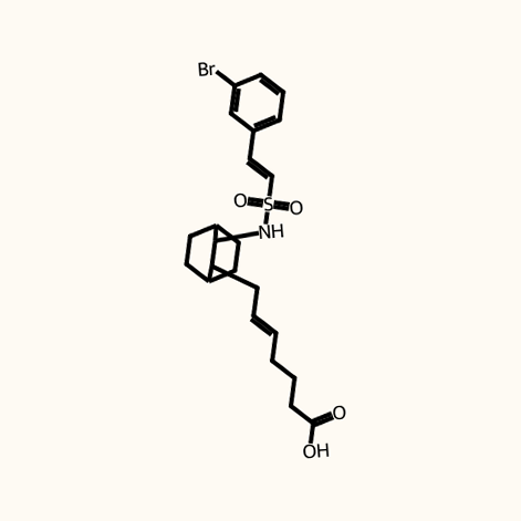 O=C(O)CCCC=CCC1C2CCC(CC2)C1NS(=O)(=O)C=Cc1cccc(Br)c1